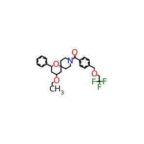 CCOC1CC(c2ccccc2)OC2(CCN(C(=O)c3ccc(COCC(F)(F)F)cc3)CC2)C1